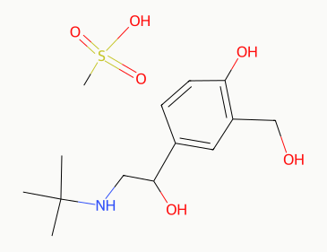 CC(C)(C)NCC(O)c1ccc(O)c(CO)c1.CS(=O)(=O)O